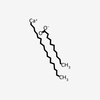 CCCCCCCCCCCC(=O)[O-].CCCCCCCCCCCCCCCCC[CH2][Ca+]